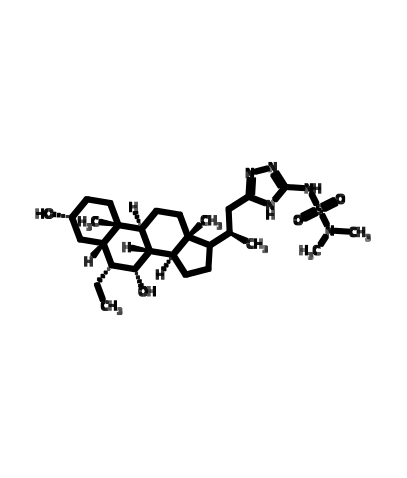 CC[C@H]1[C@@H](O)[C@@H]2[C@H](CC[C@]3(C)C([C@H](C)Cc4nnc(NS(=O)(=O)N(C)C)[nH]4)CC[C@@H]23)[C@@]2(C)CC[C@@H](O)C[C@@H]12